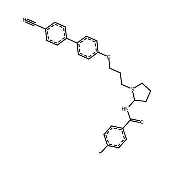 N#Cc1ccc(-c2ccc(OCCCN3CCCC3NC(=O)c3ccc(F)cc3)cc2)cc1